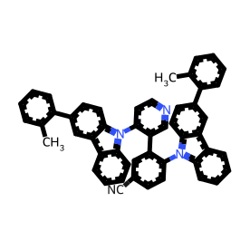 Cc1ccccc1-c1ccc2c(c1)c1ccccc1n2-c1ccncc1-c1cc(C#N)ccc1-n1c2ccccc2c2cc(-c3ccccc3C)ccc21